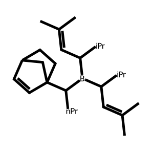 CCCC(B(C(C=C(C)C)C(C)C)C(C=C(C)C)C(C)C)C12C=CC(CC1)C2